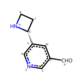 O=Cc1cncc([C@H]2CCN2)c1